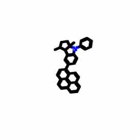 CC1CCC2(C)C1c1cc(-c3ccc4ccc5cccc6ccc3c4c56)ccc1N2c1ccccc1